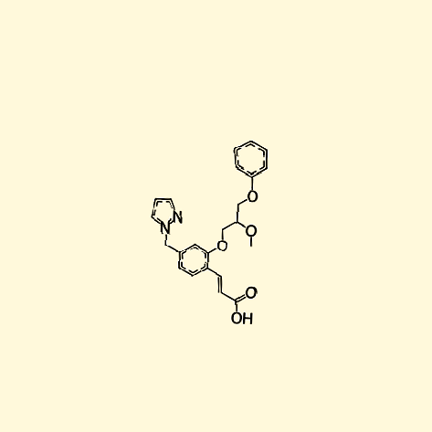 COC(COc1ccccc1)COc1cc(Cn2cccn2)ccc1C=CC(=O)O